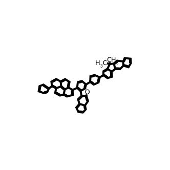 CC1(C)c2cc(-c3ccc(-c4ccc(-c5ccc6ccc7c(-c8ccccc8)ccc8ccc5c6c87)c5c4oc4cc6ccccc6cc45)cc3)ccc2-c2cc3ccccc3cc21